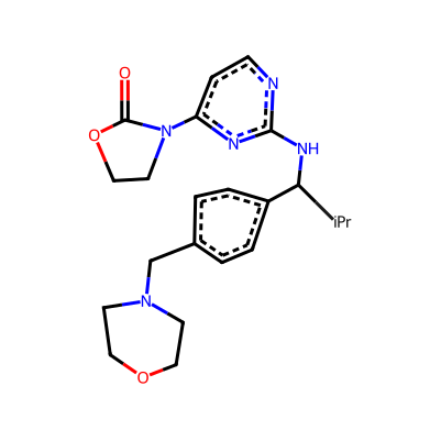 CC(C)C(Nc1nccc(N2CCOC2=O)n1)c1ccc(CN2CCOCC2)cc1